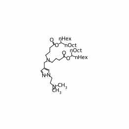 CCCCCCCCC(CCCCCC)OC(=O)CCCN(CCCC(=O)OC(CCCCCC)CCCCCCCC)Cc1cnn(CCN(C)C)c1